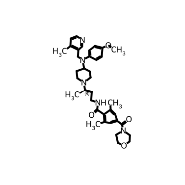 COc1ccc(N(Cc2cnccc2C)C2CCN([C@H](C)CCNC(=O)c3c(C)cc(C(=O)N4CCOCC4)cc3C)CC2)cc1